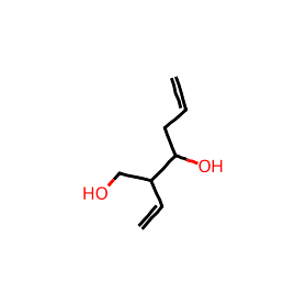 C=CCC(O)C(C=C)CO